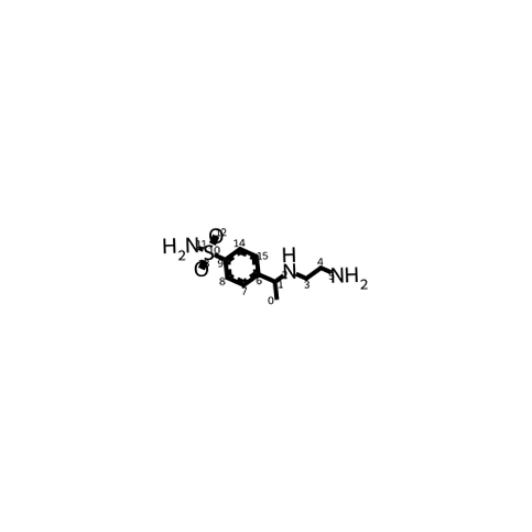 CC(NCCN)c1ccc(S(N)(=O)=O)cc1